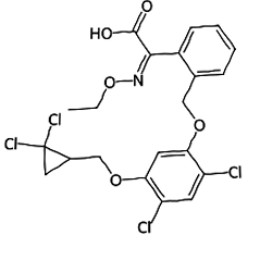 CCON=C(C(=O)O)c1ccccc1COc1cc(OCC2CC2(Cl)Cl)c(Cl)cc1Cl